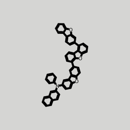 c1ccc(N(c2ccc3ccccc3c2)c2ccc3oc4ccc(-c5cccc6c5oc5cccc(-c7ccc8c(c7)oc7ccccc78)c56)cc4c3c2)cc1